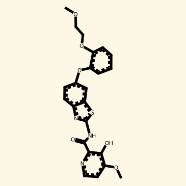 COCCOc1ccccc1Oc1ccc2nc(NC(=O)c3nccc(OC)c3O)sc2c1